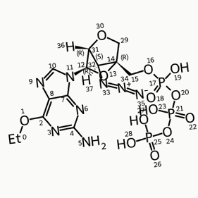 CCOc1nc(N)nc2c1ncn2[C@@H]1O[C@@]2(COP(=O)(O)OP(=O)(O)OP(=O)(O)O)CO[C@@H]1[C@@H]2N=[N+]=[N-]